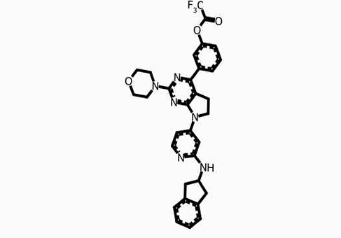 O=C(Oc1cccc(-c2nc(N3CCOCC3)nc3c2CCN3c2ccnc(NC3Cc4ccccc4C3)c2)c1)C(F)(F)F